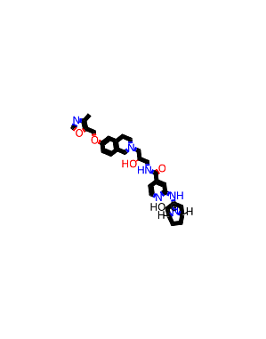 Cc1ncoc1COc1ccc2c(c1)CCN(C[C@@H](O)CNC(=O)c1ccnc(NC3C[C@H]4CC[C@@H](C3)N4C(=O)O)c1)C2